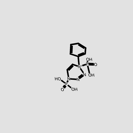 O=P(O)(O)N1C=C[N+](c2ccccc2)(P(=O)(O)O)N=N1